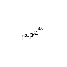 CC(C)c1c(-c2nnc3cc(-c4ccnc(Nc5cnn(C)c5)n4)ccn23)cnn1C